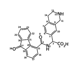 O=C(NC(C(=O)O)c1ccc2c(c1)CNCC2)c1cccc2c1-c1ccccc1C2=O